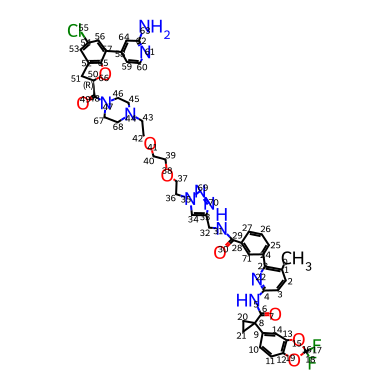 Cc1ccc(NC(=O)C2(c3ccc4c(c3)OC(F)(F)O4)CC2)nc1-c1cccc(C(=O)NCc2cn(CCOCCOCCN3CCN(C(=O)[C@H]4Cc5cc(Cl)cc(-c6ccnc(N)c6)c5O4)CC3)nn2)c1